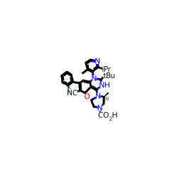 Cc1ccnc(C(C)C)c1N1C2=CC(c3ccccc3F)=C(C#N)C(=O)C2=C(N2CCN(C(=O)O)C[C@@H]2C)NC1C(C)(C)C